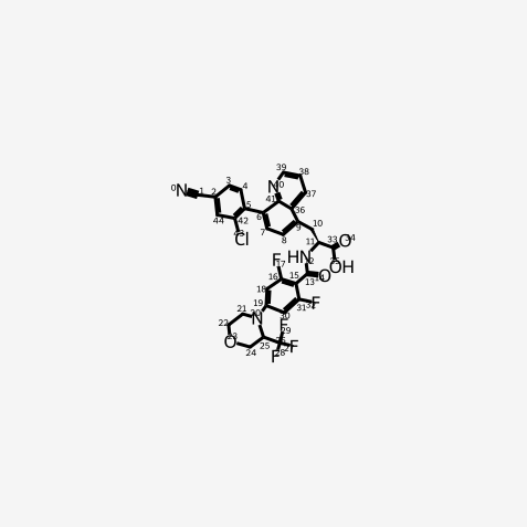 N#Cc1ccc(-c2ccc(C[C@H](NC(=O)c3c(F)cc(N4CCOCC4C(F)(F)F)cc3F)C(=O)O)c3cccnc23)c(Cl)c1